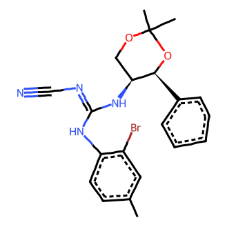 Cc1ccc(N/C(=N\C#N)N[C@H]2COC(C)(C)O[C@H]2c2ccccc2)c(Br)c1